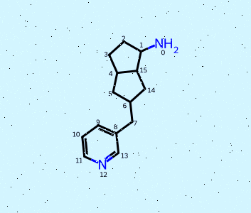 NC1CCC2CC(Cc3cccnc3)CC12